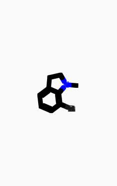 CCc1cccc2c1N(C)CC2